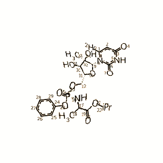 [2H]c1cc(=O)[nH]c(=O)n1[C@@H]1O[C@H](CO[P@@](=O)(NC(C)C(=O)OC(C)C)Oc2ccccc2)[C@@H](O)[C@@]1(C)O